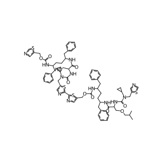 CC(C)COCC(NC(=O)N(Cc1cncs1)C1CC1)C(=O)NC(CCC(Cc1ccccc1)NC(=O)OCc1cnc(-c2ncc(CN(C(=O)NC(CO)C(=O)NC(CCC(Cc3ccccc3)NC(=O)OCc3cncs3)Cc3ccccc3)C3CC3)s2)s1)Cc1ccccc1